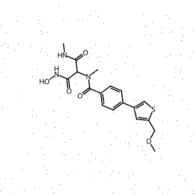 CNC(=O)C(C(=O)NO)N(C)C(=O)c1ccc(-c2csc(COC)c2)cc1